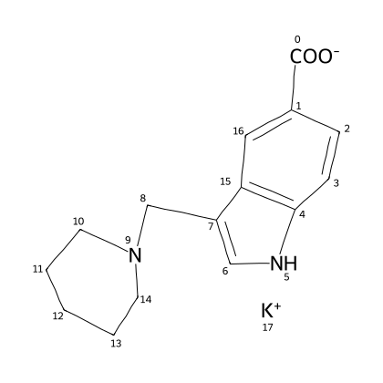 O=C([O-])c1ccc2[nH]cc(CN3CCCCC3)c2c1.[K+]